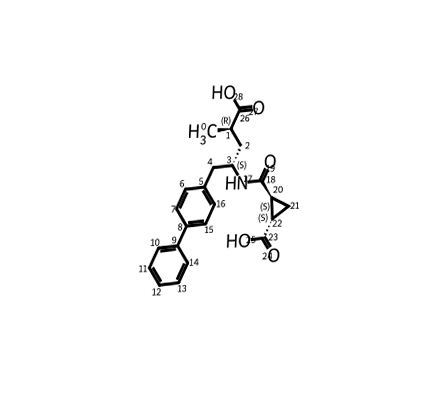 C[C@H](C[C@@H](Cc1ccc(-c2ccccc2)cc1)NC(=O)[C@H]1C[C@@H]1C(=O)O)C(=O)O